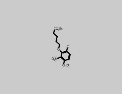 CCOC(=O)CCCCOc1c(Cl)ccc(C=O)c1[N+](=O)[O-]